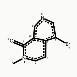 Cn1ccc2c(Br)cncc2c1=O